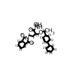 CC(OCC(CCN1C(=O)c2ccccc2C1=O)C(=O)NO)c1ccc(-c2ccccc2)cc1